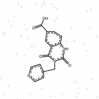 O=C(O)c1ccc2[nH]c(=O)n(Cc3ccncc3)c(=O)c2c1